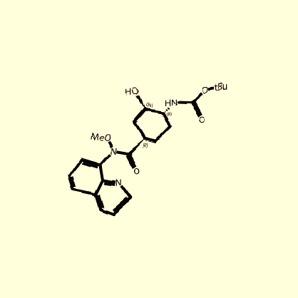 CON(C(=O)[C@@H]1CC[C@@H](NC(=O)OC(C)(C)C)[C@H](O)C1)c1cccc2cccnc12